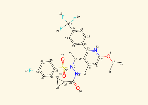 CCN(N(Cc1cc(OC(C)C)nc(-c2ccc(C(F)(F)F)cc2)c1)C(=O)C1CC1)S(=O)(=O)c1ccc(F)cc1